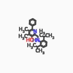 Cc1c(-c2ccccc2)nc(CNc2c(C(C)C)cccc2C(C)C)c(O)c1C